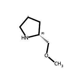 COC[C@H]1C[CH]CN1